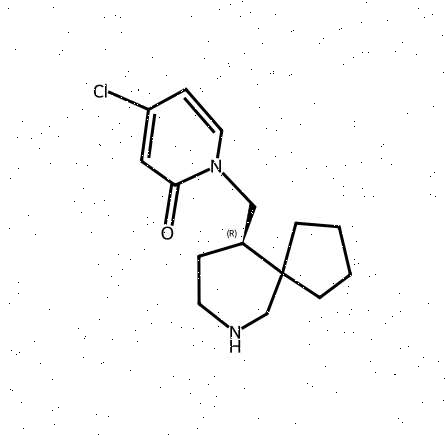 O=c1cc(Cl)ccn1C[C@@H]1CCNCC12CCCC2